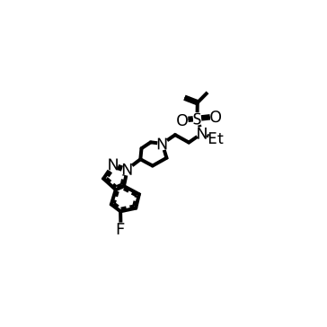 C=C(C)S(=O)(=O)N(CC)CCN1CCC(n2ncc3cc(F)ccc32)CC1